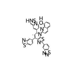 Oc1cccc2ccc(N3c4sc(-c5ccc6snnc6c5)nc4C(c4ccc5scnc5c4)=[C]C3C3=CC4=CNSN4C=C3)nc12